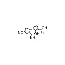 [CH2]CC(O)n1ncc(-c2ccc(C#N)cc2CN)c1O